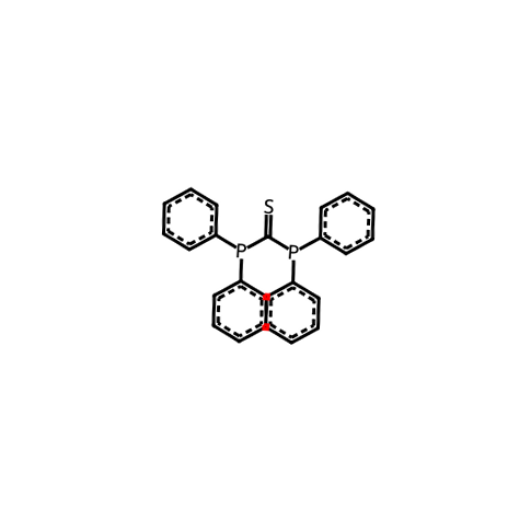 S=C(P(c1ccccc1)c1ccccc1)P(c1ccccc1)c1ccccc1